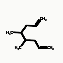 C=CCC(C)C(C)CC=C